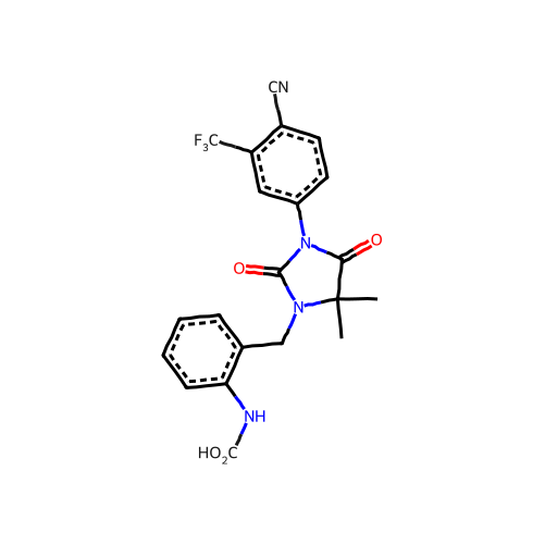 CC1(C)C(=O)N(c2ccc(C#N)c(C(F)(F)F)c2)C(=O)N1Cc1ccccc1NC(=O)O